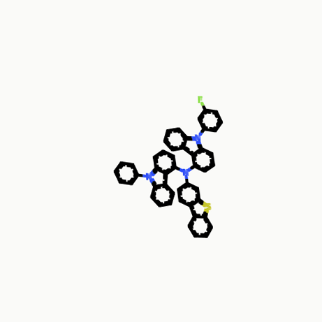 Fc1cccc(-n2c3ccccc3c3c(N(c4ccc5c(c4)sc4ccccc45)c4cccc5c4c4ccccc4n5-c4ccccc4)cccc32)c1